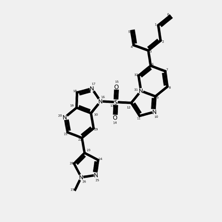 C=C/C=C(\C=C)c1ccc2ncc(S(=O)(=O)n3ncc4ncc(-c5cnn(C)c5)cc43)n2c1